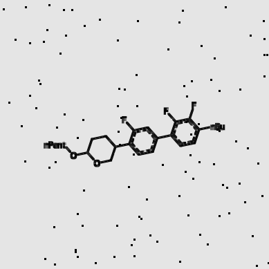 CCCCCOC1CCC(c2ccc(-c3ccc(CCCC)c(F)c3F)cc2F)CO1